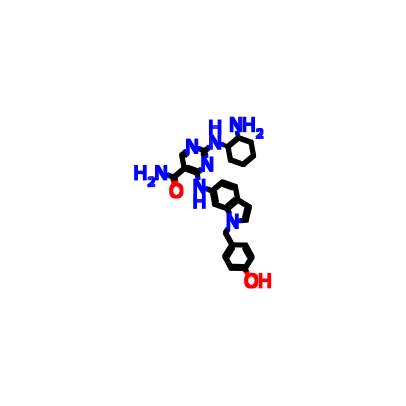 NC(=O)c1cnc(N[C@@H]2CCCC[C@@H]2N)nc1Nc1ccc2ccn(Cc3ccc(O)cc3)c2c1